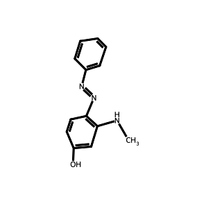 CNc1cc(O)ccc1N=Nc1ccccc1